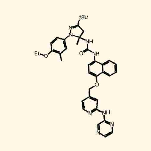 CCOc1ccc(N2N=C(C(C)(C)C)CC2(C)NC(=O)Nc2ccc(OCc3ccnc(Nc4cnccn4)c3)c3ccccc23)cc1C